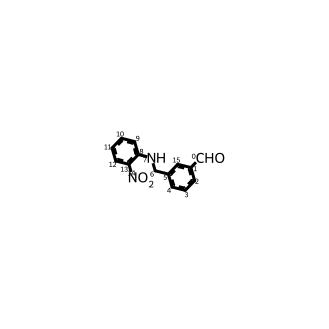 O=Cc1cccc(CNc2ccccc2[N+](=O)[O-])c1